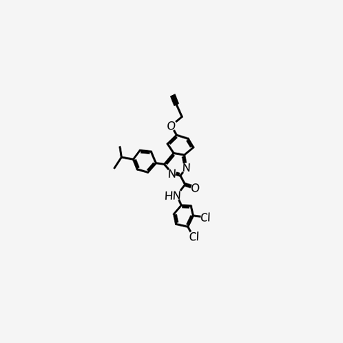 C#CCOc1ccc2nc(C(=O)Nc3ccc(Cl)c(Cl)c3)nc(-c3ccc(C(C)C)cc3)c2c1